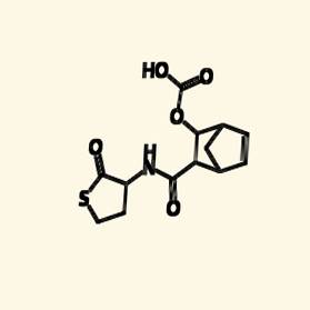 O=C(O)OC1C2C=CC(C2)C1C(=O)NC1CCSC1=O